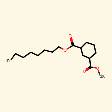 CC(C)CCCCCCCOC(=O)C1CCCC(C(=O)OC(C)(C)C)C1